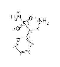 NCC(c1ccccc1)S(N)(=O)=O